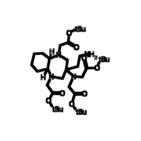 CC(C)(C)OC(=O)CN1CC(CCN)(N(CC(=O)OC(C)(C)C)CC(=O)OC(C)(C)C)CN(CC(=O)OC(C)(C)C)[C@@H]2CCCC[C@H]21